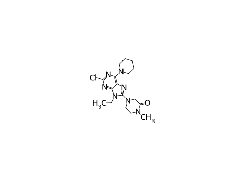 CCn1c(N2CCN(C)C(=O)C2)nc2c(N3CCCCC3)nc(Cl)nc21